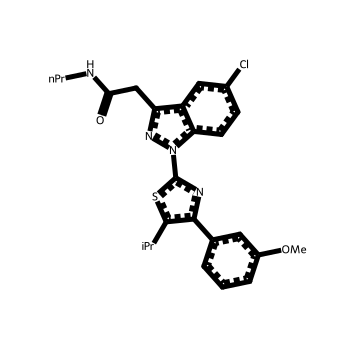 CCCNC(=O)Cc1nn(-c2nc(-c3cccc(OC)c3)c(C(C)C)s2)c2ccc(Cl)cc12